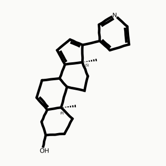 C[C@]12CCC3C(CC=C4CC(O)CC[C@@]43C)C1=CC=C2c1cccnc1